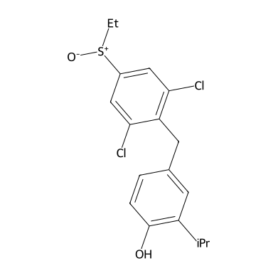 CC[S+]([O-])c1cc(Cl)c(Cc2ccc(O)c(C(C)C)c2)c(Cl)c1